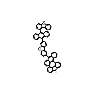 c1ccc2c(c1)sc1cccc(-c3c4ccccc4c(-c4ccc5c(c4)oc4ccc(-c6c7ccccc7c(-c7cccc8sc9ccccc9c78)c7ccccc67)cc45)c4ccccc34)c12